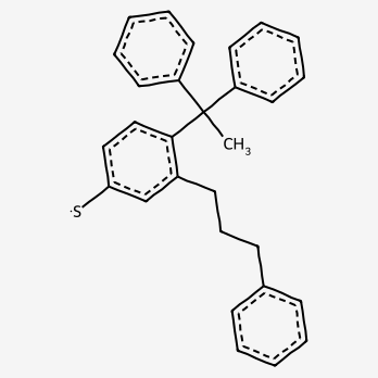 CC(c1ccccc1)(c1ccccc1)c1ccc([S])cc1CCCc1ccccc1